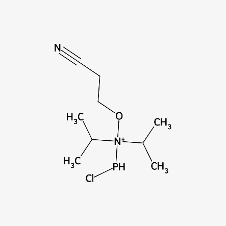 CC(C)[N+](OCCC#N)(PCl)C(C)C